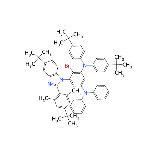 Cc1cc(C(C)(C)C)cc(C)c1-c1nc2cc(C(C)(C)C)ccc2n1-c1cc(N(c2ccccc2)c2ccccc2)cc(N(c2ccc(C(C)(C)C)cc2)c2ccc(C(C)(C)C)cc2)c1Br